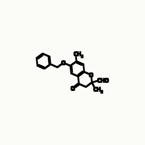 Cc1cc2c(cc1OCc1ccccc1)C(=O)CC(C)(C=O)O2